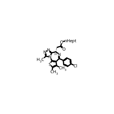 CCCCCCCOC(=O)C[C@@H]1N=C(c2ccc(Cl)cc2)c2c(sc(C)c2C)-n2c(C)nnc21